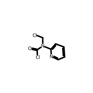 O=C(Cl)N(CCl)c1ccccn1